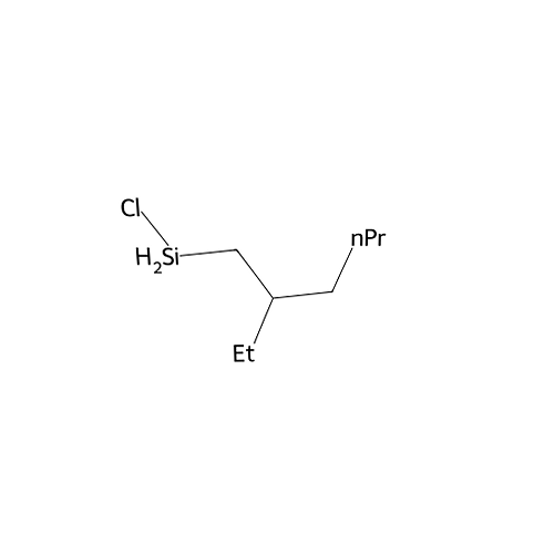 CCCCC(CC)C[SiH2]Cl